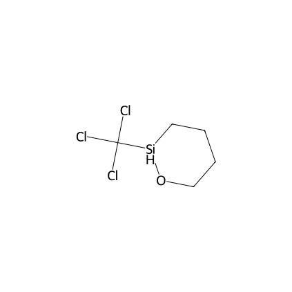 ClC(Cl)(Cl)[SiH]1CCCCO1